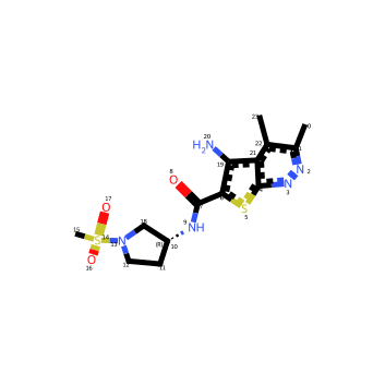 Cc1nnc2sc(C(=O)N[C@@H]3CCN(S(C)(=O)=O)C3)c(N)c2c1C